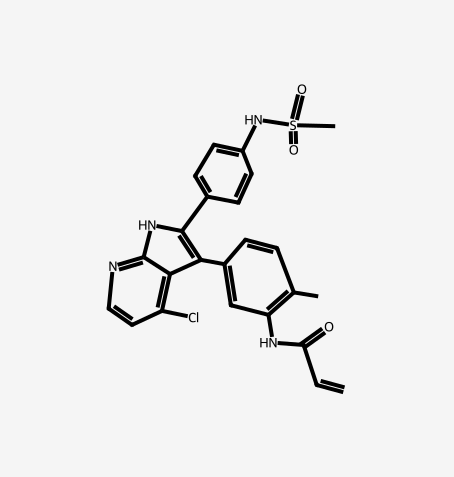 C=CC(=O)Nc1cc(-c2c(-c3ccc(NS(C)(=O)=O)cc3)[nH]c3nccc(Cl)c23)ccc1C